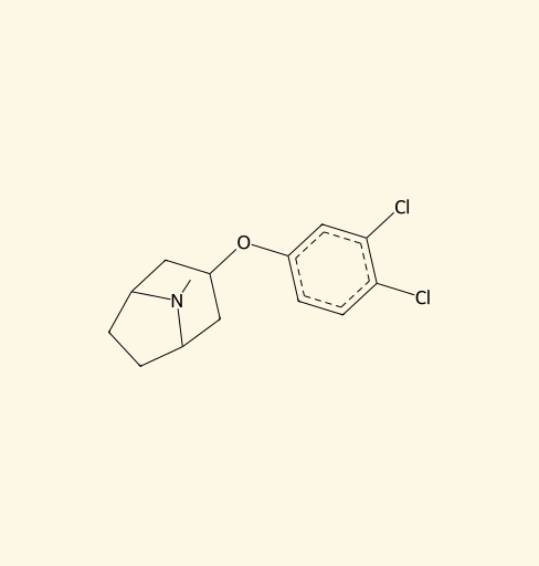 CN1C2CCC1CC(Oc1ccc(Cl)c(Cl)c1)C2